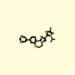 Cc1nc(-c2cn3c(n2)-c2ccc(-c4cncnc4)cc2OCC3)n(C(C)C)n1